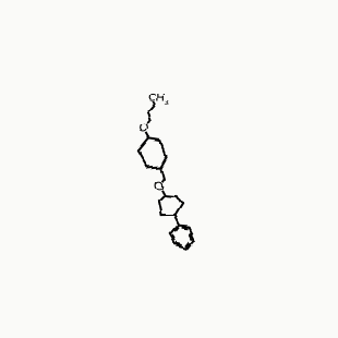 CCCCOC1CCC(COC2CCC(c3ccccc3)CC2)CC1